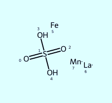 O=S(=O)(O)O.[Fe].[La].[Mn]